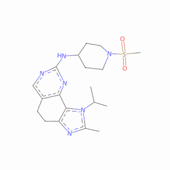 Cc1nc2c(n1C(C)C)-c1nc(NC3CCN(S(C)(=O)=O)CC3)ncc1CC2